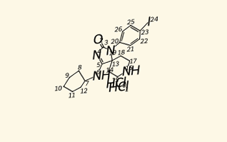 Cl.Cl.O=C1N=C(NC2CCCCC2)C2(CCNCC2)N1c1ccc(I)cc1